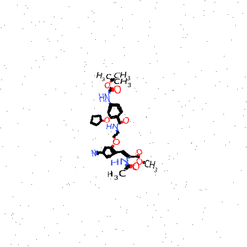 COC(=O)C(=Cc1ccc(C#N)cc1OCCNC(=O)c1ccc(NC(=O)OC(C)(C)C)cc1OC1CCCC1)NC(C)=O